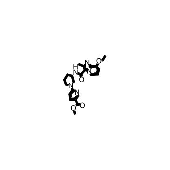 CCOc1cccn2c(C(=O)N[C@H]3CCCN(c4ccc(C(=O)OC)cn4)C3)c(C)nc12